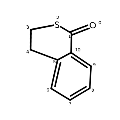 O=C1SCCc2ccccc21